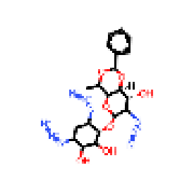 CC1OC(c2ccccc2)O[C@@H]2C1O[C@H](O[C@@H]1C(N=[N+]=[N-])CC(N=[N+]=[N-])C(O)C1O)C(N=[N+]=[N-])[C@H]2O